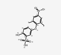 Cc1cc([N+](=O)[O-])cc(C)c1Oc1ccc(O)c(S(=O)(=O)O)c1